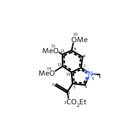 C=C(C(=O)OCC)c1cn(C)c2cc(OC)c(OC)c(OC)c12